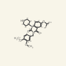 COc1ccc(Cn2c(=O)c3cc(OC(F)F)ccc3n(C3CCNCC3)c2=O)cc1OC